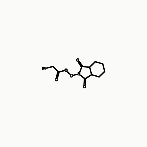 CC(C)CC(=O)OON1C(=O)C2CCCCC2C1=O